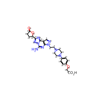 Nc1nc2c(cnn2CCN2CCN(c3ccc(OCC(=O)O)cc3)CC2)c2nc(C3CCC(=O)O3)nn12